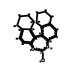 Clp1oc2c(c3c4c(ccc3o1)CCCC4)=C1CCCCC1=C=C=2